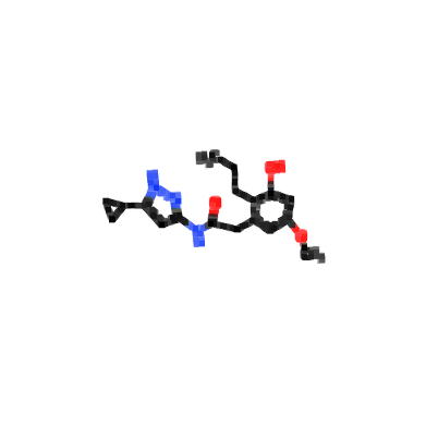 CCCc1c(O)cc(OC)cc1CC(=O)Nc1cc(C2CC2)[nH]n1